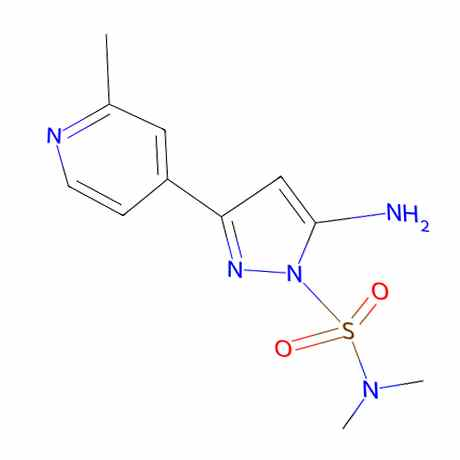 Cc1cc(-c2cc(N)n(S(=O)(=O)N(C)C)n2)ccn1